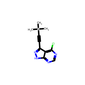 C[Si](C)(C)C#Cc1n[nH]c2ncnc(Cl)c12